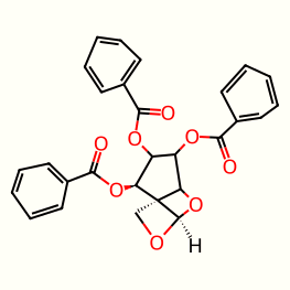 O=C(OC1C(OC(=O)c2ccccc2)[C@H](OC(=O)c2ccccc2)[C@]23CO[C@@H]2OC13)c1ccccc1